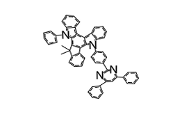 CC1(C)c2ccccc2-c2c1c1c(c3ccccc3n1-c1ccccc1)c1c3ccccc3n(-c3ccc(-c4nc(-c5ccccc5)cc(-c5ccccc5)n4)cc3)c21